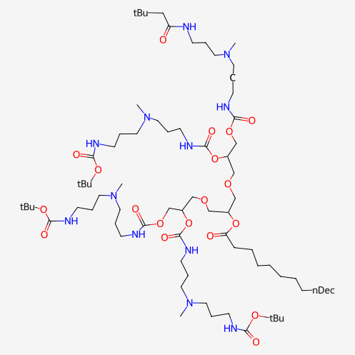 CCCCCCCCCCCCCCCCCC(=O)OC(COCC(COC(=O)NCCCN(C)CCCNC(=O)CC(C)(C)C)OC(=O)NCCCN(C)CCCNC(=O)OC(C)(C)C)COCC(COC(=O)NCCCN(C)CCCNC(=O)OC(C)(C)C)OC(=O)NCCCN(C)CCCNC(=O)OC(C)(C)C